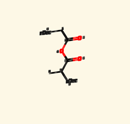 CCCCCCCCCCCC(=O)OC(=O)C(C)CCCCCCCCCC